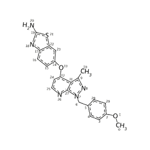 COc1ccc(Cn2nc(C)c3c(Oc4ccc5nc(N)sc5c4)ccnc32)cc1